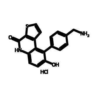 Cl.NCc1ccc(-c2c(O)ccc3[nH]c(=O)c4sccc4c23)cc1